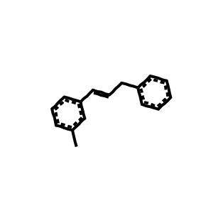 Cc1cccc(C=CCc2ccccc2)c1